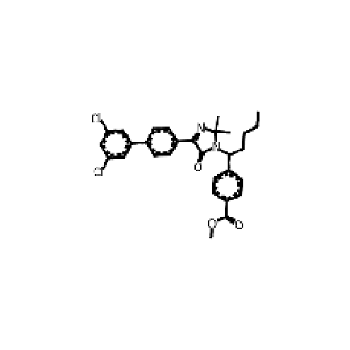 CCCCC(c1ccc(C(=O)OC)cc1)N1C(=O)C(c2ccc(-c3cc(Cl)cc(Cl)c3)cc2)=NC1(C)C